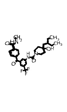 CCC(CC)CC1(O)CCN(C(=O)Nc2cc(C(=O)c3ccc(C(=O)NC)cc3)cc(C(F)(F)F)c2)CC1